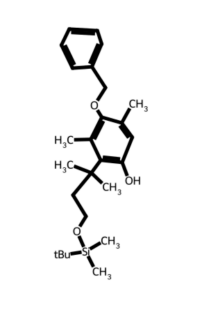 Cc1cc(O)c(C(C)(C)CCO[Si](C)(C)C(C)(C)C)c(C)c1OCc1ccccc1